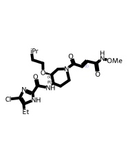 CCc1[nH]c(C(=O)N[C@@H]2CCN(C(=O)/C=C/C(=O)NOC)C[C@@H]2OCCC(C)C)nc1Cl